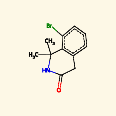 CC1(C)NC(=O)Cc2cccc(Br)c21